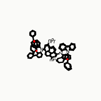 CCCc1cc(N(c2cccc3c2CCCC3)c2cccc3c4ccccc4n(-c4ccc(-c5ccccc5)cc4)c23)c2ccc3c(CCC)cc(N(c4cccc5c4CCCC5)c4cccc5c6ccccc6n(-c6ccc(-c7ccccc7)cc6)c45)c4ccc1c2c34